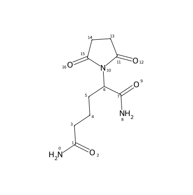 NC(=O)CCCC(C(N)=O)N1C(=O)CCC1=O